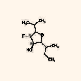 CCC(C)C1OC(C(C)C)[C@@H](F)[C@@H]1O